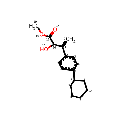 C=C(c1ccc(C2CCCCC2)cc1)C(O)C(=O)OC